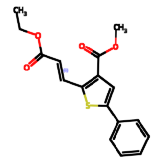 CCOC(=O)/C=C/c1sc(-c2ccccc2)cc1C(=O)OC